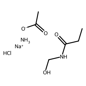 CC(=O)[O-].CCC(=O)NCO.Cl.N.[Na+]